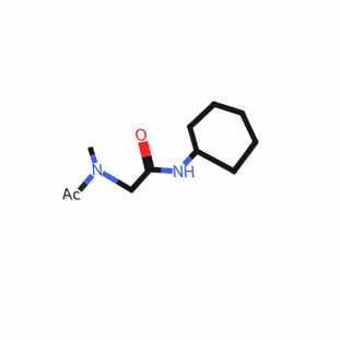 CC(=O)N(C)CC(=O)NC1CCCCC1